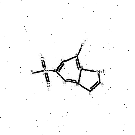 CS(=O)(=O)c1cc(F)c2[nH]ccc2c1